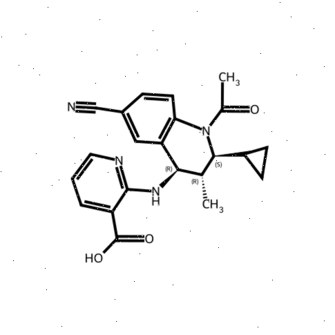 CC(=O)N1c2ccc(C#N)cc2[C@H](Nc2ncccc2C(=O)O)[C@@H](C)[C@@H]1C1CC1